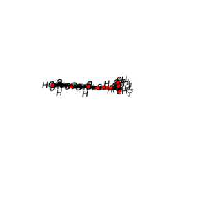 CC(C)C(NC(=O)CCCCCCCSCCCCCC(=O)NCCCOCCOCCOCCCNC(=O)CCC(=O)O)C(=O)OC(C)(C)C